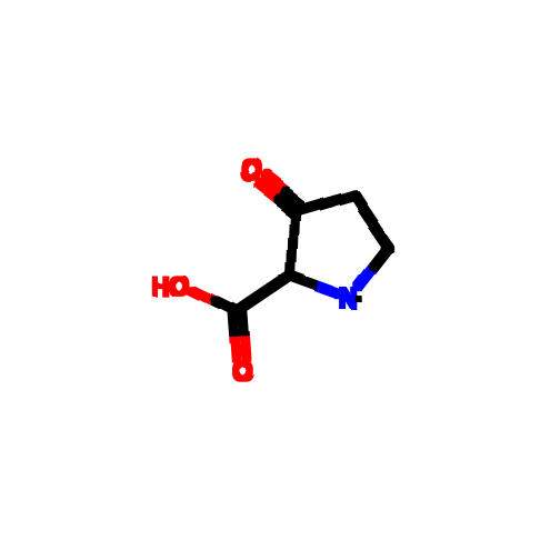 O=C(O)C1[N]CCC1=O